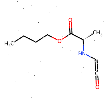 CCCCOC(=O)[C@H](C)NC=C=O